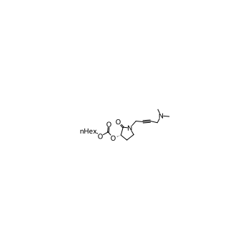 CCCCCCOC(=O)O[C@H]1CCN(CC#CCN(C)C)C1=O